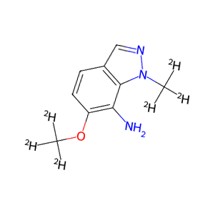 [2H]C([2H])([2H])Oc1ccc2cnn(C([2H])([2H])[2H])c2c1N